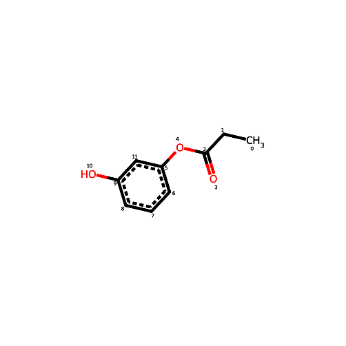 CCC(=O)Oc1cccc(O)c1